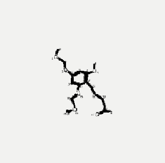 COCOc1cc(OC)c(CCCC(C)=O)c(OCOC)c1